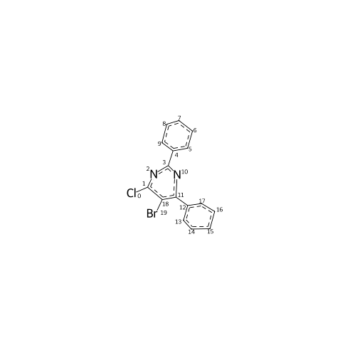 Clc1nc(-c2ccccc2)nc(-c2ccccc2)c1Br